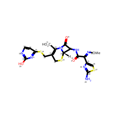 CON=C(C(=O)NC1C(=O)N2C(C(=O)O)=C(CSc3ccnc(O)n3)CS[C@@H]12)c1csc(N)n1